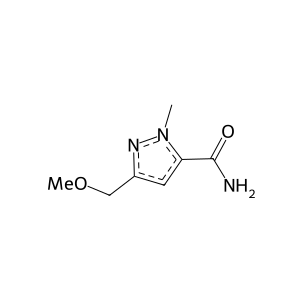 COCc1cc(C(N)=O)n(C)n1